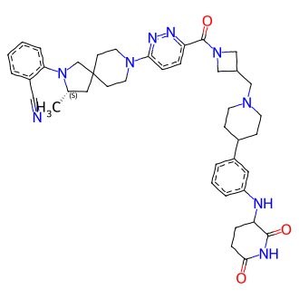 C[C@H]1CC2(CCN(c3ccc(C(=O)N4CC(CN5CCC(c6cccc(NC7CCC(=O)NC7=O)c6)CC5)C4)nn3)CC2)CN1c1ccccc1C#N